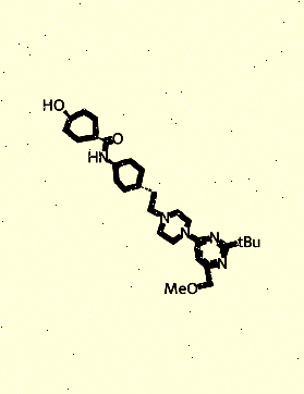 COCc1cc(N2CCN(CC[C@H]3CC[C@H](NC(=O)[C@H]4CC[C@H](O)CC4)CC3)CC2)nc(C(C)(C)C)n1